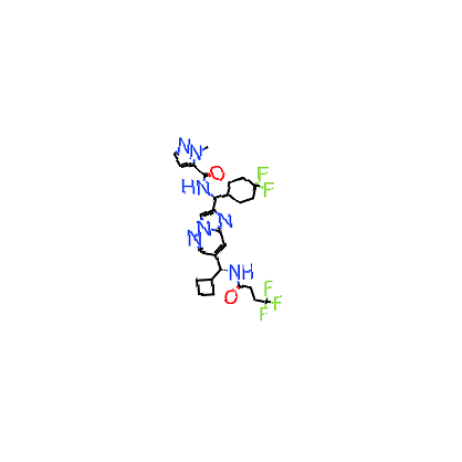 Cn1nccc1C(=O)N[C@H](c1cn2ncc([C@H](NC(=O)CCC(F)(F)F)C3CCC3)cc2n1)C1CCC(F)(F)CC1